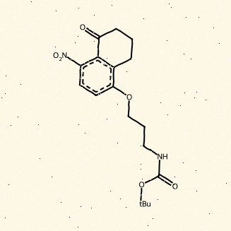 CC(C)(C)OC(=O)NCCCOc1ccc([N+](=O)[O-])c2c1CCCC2=O